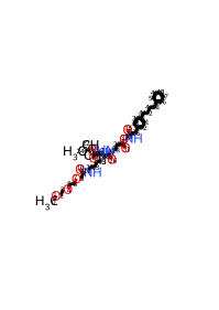 COCCOCCOCC(=O)NCCCC[C@H](NC(=O)OC(C)(C)C)C(=O)NCCC(=O)ONC(=O)Cc1ccc(CCCCc2ccccc2)cc1